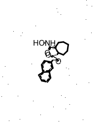 O=C(NO)[C@H]1CCCCCC1S(=O)(=O)c1ccc2ccccc2c1